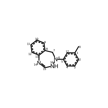 Cc1cccc(N2Cc3ccccc3N=CN2)c1